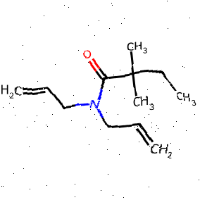 C=CCN(CC=C)C(=O)C(C)(C)CC